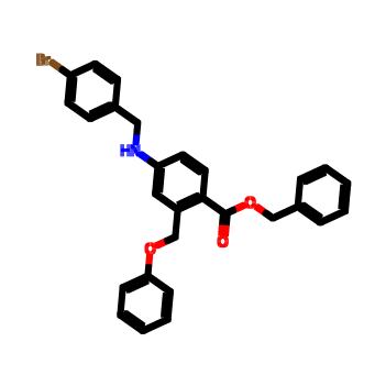 O=C(OCc1ccccc1)c1ccc(NCc2ccc(Br)cc2)cc1COc1ccccc1